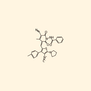 [C-]#[N+]c1c(N2CCCC2)sc(/C=C2\C(=O)N(NC(=O)c3ccccc3)C(=O)C(C#N)=C2C)c1-c1ccc(C)cc1